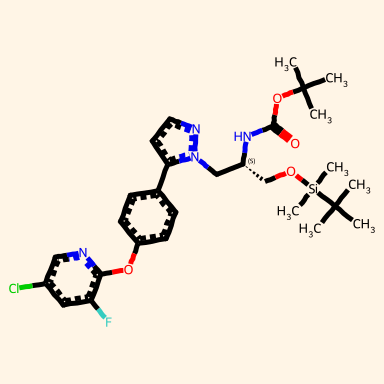 CC(C)(C)OC(=O)N[C@H](CO[Si](C)(C)C(C)(C)C)Cn1nccc1-c1ccc(Oc2ncc(Cl)cc2F)cc1